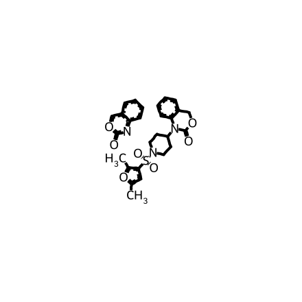 Cc1cc(S(=O)(=O)N2CCC(N3C(=O)OCc4ccccc43)CC2)c(C)o1.O=c1nc2ccccc2co1